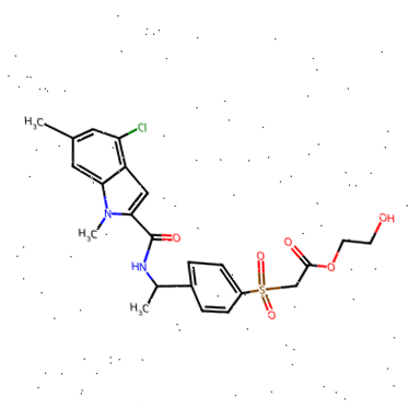 Cc1cc(Cl)c2cc(C(=O)NC(C)c3ccc(S(=O)(=O)CC(=O)OCCO)cc3)n(C)c2c1